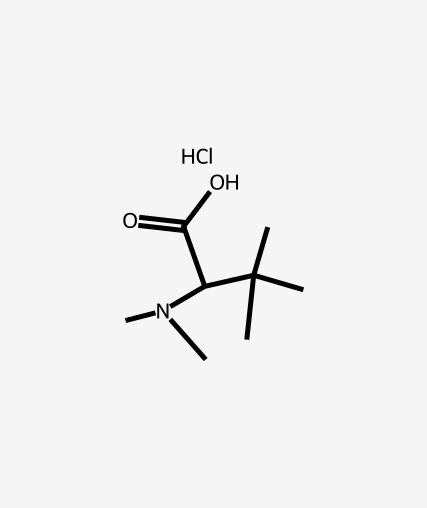 CN(C)C(C(=O)O)C(C)(C)C.Cl